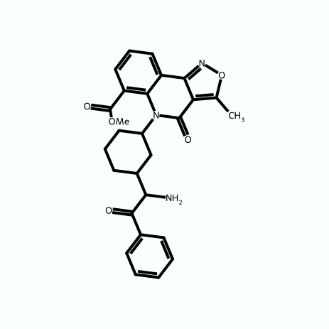 COC(=O)c1cccc2c3noc(C)c3c(=O)n(C3CCCC(C(N)C(=O)c4ccccc4)C3)c12